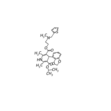 CC1=C(C(=O)OCCN(C)Cc2cccs2)C(c2cccc3c2OCO3)C(C(=O)OC(C)C)=C(C)N1